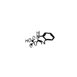 O=S(=O)(O)Oc1nc2ccccc2[nH]1